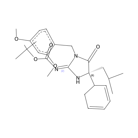 COc1ccc(CN2C(=O)[C@@](CC(C)C)(C3C=CC=CC3)N/C2=N/C(=O)OC(C)(C)C)c(OC)c1